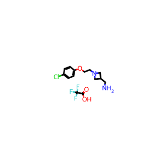 NCC1CN(CCOc2ccc(Cl)cc2)C1.O=C(O)C(F)(F)F